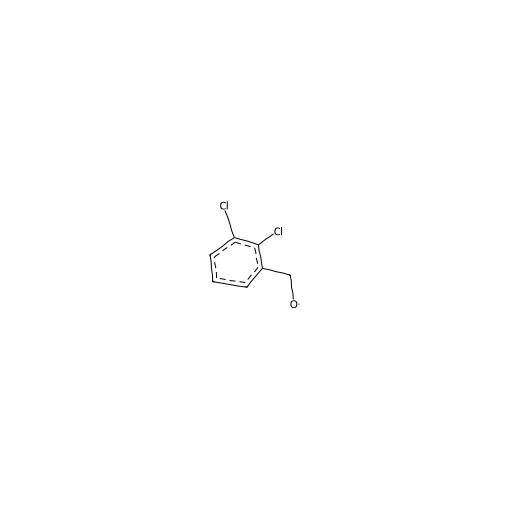 [O]Cc1cccc(Cl)c1Cl